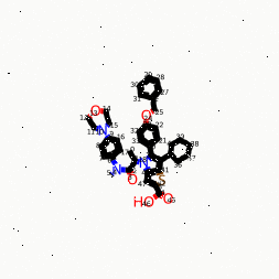 CC(C(=O)N(C)c1ccc(N2CCOCC2)cc1)n1c(-c2ccc(OCc3ccccc3)cc2)c(C2CCCCC2)c2sc(C(=O)O)cc21